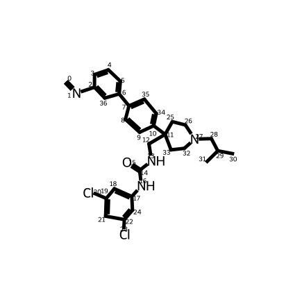 C=Nc1cccc(-c2ccc(C3(CNC(=O)Nc4cc(Cl)cc(Cl)c4)CCN(CC(C)C)CC3)cc2)c1